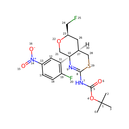 CC(C)(C)OC(=O)NC1=N[C@@]2(c3cc([N+](=O)[O-])ccc3F)CO[C@@H](CF)C[C@H]2CS1